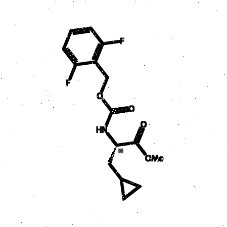 COC(=O)[C@H](CC1CC1)NC(=O)OCc1c(F)cccc1F